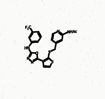 CC(=O)Nc1cc(CSc2sccc2-c2nnc(Nc3cccc(C(F)(F)F)c3)o2)ccn1